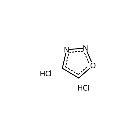 Cl.Cl.c1conn1